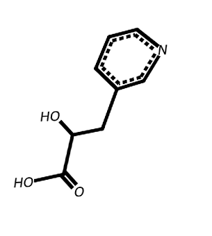 O=C(O)C(O)Cc1cccnc1